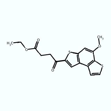 CCOC(=O)CCC(=O)c1cc2c(cc(OC)c3sccc32)s1